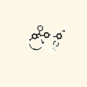 CC(=O)Nc1ccc(N2CCN([S+](C)[O-])CC2)c(COc2ccc(-c3c(C4CCCCC4)c4ccc5cc4n3CC(=O)NCC/C=C\CCNC5=O)cc2)c1